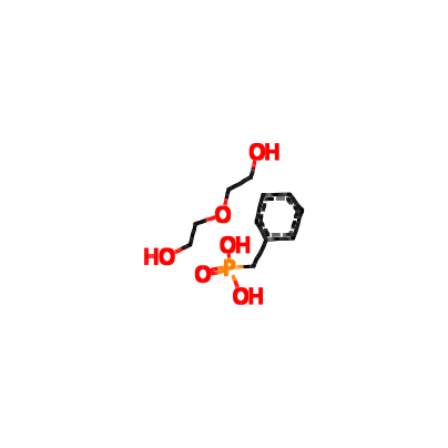 O=P(O)(O)Cc1ccccc1.OCCOCCO